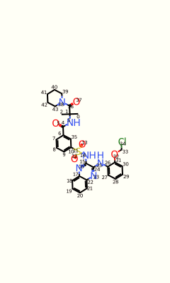 CC(C)(NC(=O)c1cccc(S(=O)(=O)Nc2nc3ccccc3nc2Nc2ccccc2OCCl)c1)C(=O)N1CCCCC1